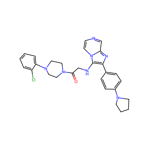 O=C(CNc1c(-c2ccc(N3CCCC3)cc2)nc2cnccn12)N1CCN(c2ccccc2Cl)CC1